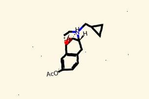 CC(=O)Oc1ccc2c(c1)[C@]13CCN(CC4CC4)[C@H](C2)[C@@H]1OCOC3